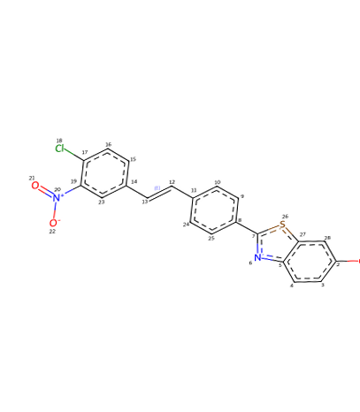 COc1ccc2nc(-c3ccc(/C=C/c4ccc(Cl)c([N+](=O)[O-])c4)cc3)sc2c1